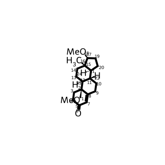 COC[C@]12CCC(=O)C=C1CC[C@@H]1[C@@H]2CC[C@]2(C)[C@@H](OC)CC[C@@H]12